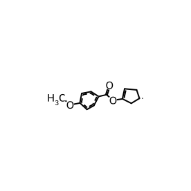 COc1ccc(C(=O)OC2=CC[CH]C2)cc1